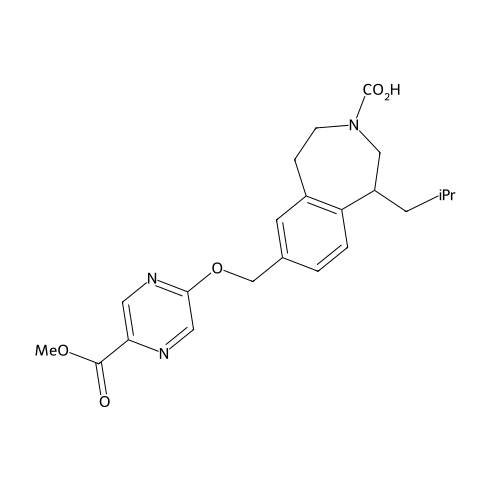 COC(=O)c1cnc(OCc2ccc3c(c2)CCN(C(=O)O)CC3CC(C)C)cn1